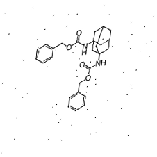 O=C(NC12CC3CC(C1)CC(NC(=O)OCc1ccccc1)(C3)C2)OCc1ccccc1